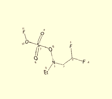 CCN(CC(F)F)OS(=O)(=O)OF